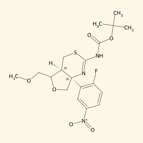 COCC1OC[C@]2(c3cc([N+](=O)[O-])ccc3F)N=C(NC(=O)OC(C)(C)C)SC[C@H]12